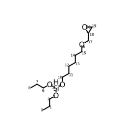 CCCO[SiH](OCCC)OCCCCCCOCC1CO1